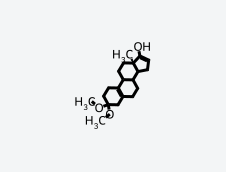 COC1(OC)CCC2=C(CCC3C2CC[C@]2(C)C(O)=CCC32)C1